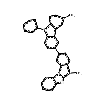 Cc1ccc2c(c1)c1cc(-c3ccc4c(c3)n3c5ccccc5nc3n4C)ccc1n2-c1ccccc1